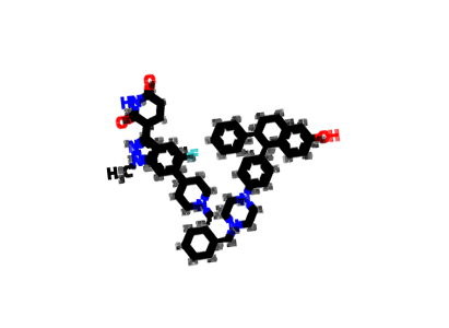 Cn1nc(C2CCC(=O)NC2=O)c2cc(F)c(C3CCN(C[C@H]4CCCC[C@@H]4CN4CCN(c5ccc([C@@H]6c7ccc(O)cc7CC[C@@H]6c6ccccc6)cc5)CC4)CC3)cc21